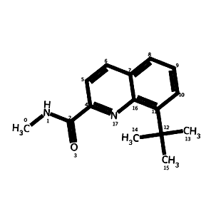 CNC(=O)c1ccc2cccc(C(C)(C)C)c2n1